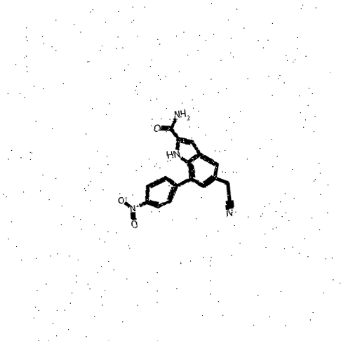 N#CCc1cc(-c2ccc([N+](=O)[O-])cc2)c2[nH]c(C(N)=O)cc2c1